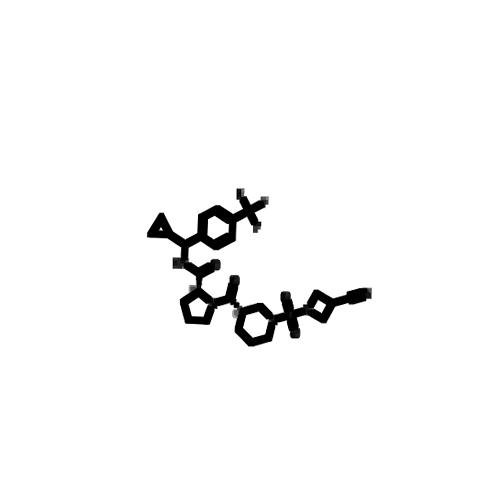 N#CC1CN(S(=O)(=O)N2CCC[C@H](C(=O)N3CCC[C@@H]3C(=O)NC(c3ccc(C(F)(F)F)cc3)C3CC3)C2)C1